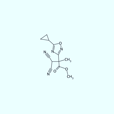 COC(=O)C(C)(c1noc(C2CC2)n1)C(C#N)C#N